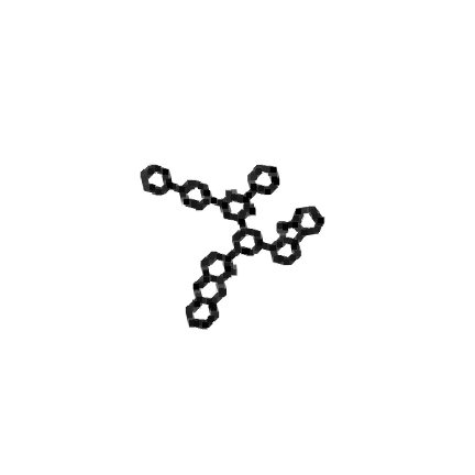 c1ccc(-c2ccc(-c3cc(-c4cc(-c5ccc6cc7ccccc7cc6n5)cc(-c5cccc6c5oc5ccccc56)c4)nc(-c4ccccc4)n3)cc2)cc1